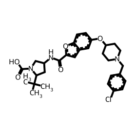 CC(C)(C)C1CC(NC(=O)c2cc3cc(OC4CCN(Cc5ccc(Cl)cc5)CC4)ccc3o2)CN1C(=O)O